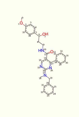 COc1ccc(C(O)CCNC(=O)c2cnc(N(C)Cc3ccccc3)nc2-c2ccccc2)cc1